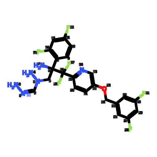 N/N=C\N(N)CC(N)(c1ccc(F)cc1F)C(F)(F)c1ccc(OCc2cc(F)cc(F)c2)cn1